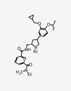 CCN(C)C(=O)c1cccc(C(=O)NC[C@H]2CC(c3ccc(OC(F)F)c(OCC4CC4)c3)CN2C(C)=O)n1